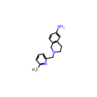 Cc1cccc(CN2CCc3cc(N)ccc3C2)n1